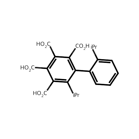 CC(C)c1ccccc1-c1c(C(=O)O)c(C(=O)O)c(C(=O)O)c(C(=O)O)c1C(C)C